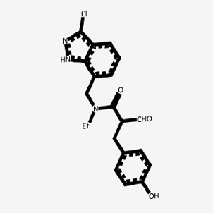 CCN(Cc1cccc2c(Cl)n[nH]c12)C(=O)C(C=O)Cc1ccc(O)cc1